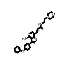 Nc1ncc(/C=C/C(=O)NCCN2CCOCC2)c2scc(-c3ccc(Oc4ccccc4)cc3)c12